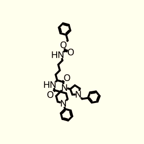 O=C(NCCCCC1NC(=O)C2(CCN(c3ccccc3)CC2)N(C2CCN(Cc3ccccc3)C2)C1=O)OCc1ccccc1